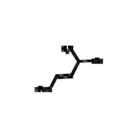 CCCCCC=CC(N)CCCC